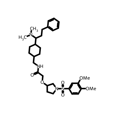 COc1ccc(S(=O)(=O)N2CCC(OCC(=O)NCC3CCC(C(CCc4ccccc4)N(C)C)CC3)C2)cc1OC